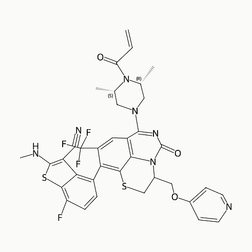 C=CC(=O)N1[C@H](C)CN(c2nc(=O)n3c4c(c(-c5ccc(F)c6sc(NC)c(C#N)c56)c(C(F)(F)F)cc24)SCC3COc2ccncc2)C[C@@H]1C